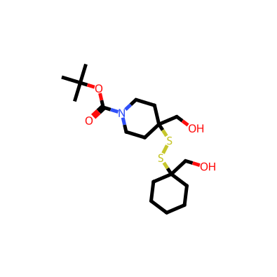 CC(C)(C)OC(=O)N1CCC(CO)(SSC2(CO)CCCCC2)CC1